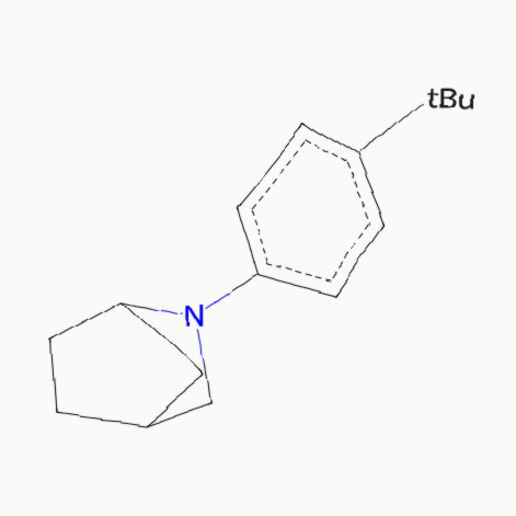 CC(C)(C)c1ccc(N2CC3CCC2C3)cc1